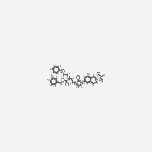 CS(=O)(=O)N1CCc2cc(-n3cnn(CCN(CCOc4ccccc4)C(=O)OCc4ccccc4)c3=O)ccc2C1